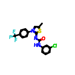 Cc1cn(-c2ccc(C(F)(F)F)cc2)/c(=N/C(=O)Nc2cccc(Cl)c2)s1